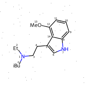 CCC(C)N(CC)CCc1c[nH]c2cccc(OC)c12